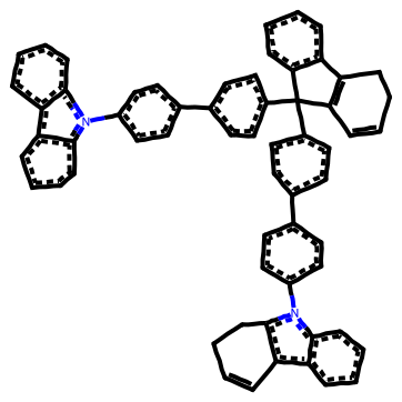 C1=CC2=C(CC1)c1ccccc1C2(c1ccc(-c2ccc(-n3c4c(c5ccccc53)C=CCC4)cc2)cc1)c1ccc(-c2ccc(-n3c4ccccc4c4ccccc43)cc2)cc1